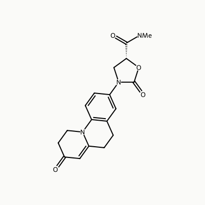 CNC(=O)[C@H]1CN(c2ccc3c(c2)CCC2=CC(=O)CCN23)C(=O)O1